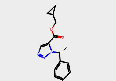 C[C@H](c1ccccc1)n1nncc1C(=O)OCC1CC1